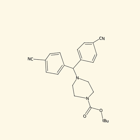 CC(C)(C)OC(=O)N1CCN(C(c2ccc(C#N)cc2)c2ccc(C#N)cc2)CC1